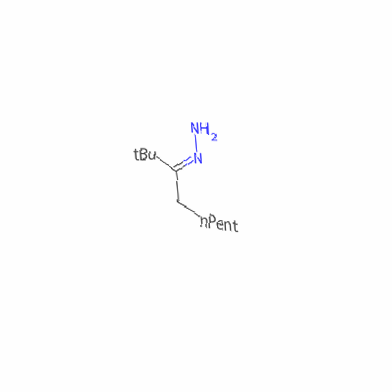 CCCCCCC(=NN)C(C)(C)C